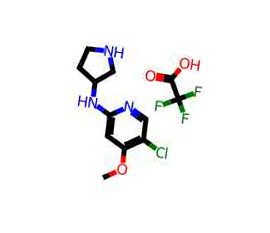 COc1cc(NC2CCNC2)ncc1Cl.O=C(O)C(F)(F)F